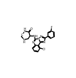 O=C1NCCNCC1Nc1nc2cccc(Cl)c2c2nc(-c3cccc(F)c3)nn12